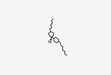 CCCCCCCC1CCC(C2(C#N)CCC(CCCCCC)CC2)CC1